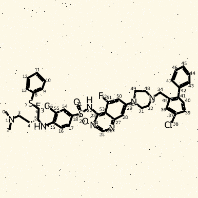 CN(C)CC[C@H](CSc1ccccc1)Nc1ccc(S(=O)(=O)Nc2ncnc3cc(N4CCN(Cc5cc(Cl)ccc5-c5ccccc5)CC4)cc(F)c23)cc1C(F)(F)F